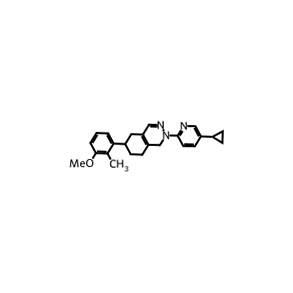 COc1cccc(C2CCC3=C(C=NN(c4ccc(C5CC5)cn4)C3)C2)c1C